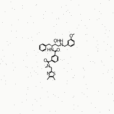 COc1cccc(CNC[C@@H](O)[C@H](Cc2ccccc2)NC(=O)c2cccc(C(=O)N(C)Cc3nc(C)c(C)s3)c2)c1